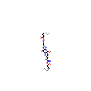 O=C(O)/C=C/C(=O)ONCCCCC1NC(=O)C(CCCCNOC(=O)/C=C/C(=O)O)NC1=O